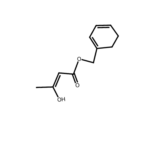 C/C(O)=C/C(=O)OCC1=CC=CCC1